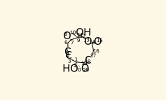 C[C@]1(O)CCCCC(=O)[C@](C)(O)COC(=O)CCCC1=O